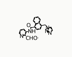 O=[C]c1ncccc1NC(=O)c1ccc(Cn2ccnn2)c2ccccc12